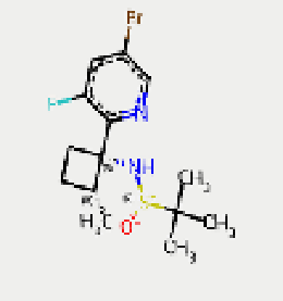 C[C@@H]1CC[C@@]1(N[S@@+]([O-])C(C)(C)C)c1ncc(Br)cc1F